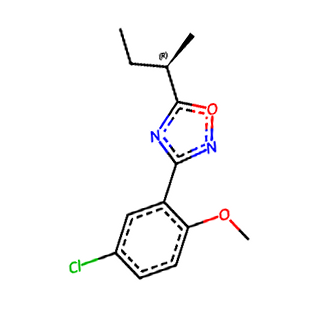 CC[C@@H](C)c1nc(-c2cc(Cl)ccc2OC)no1